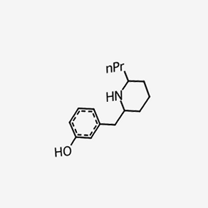 CCCC1CCCC(Cc2cccc(O)c2)N1